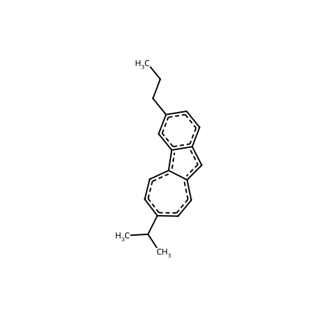 CCCc1ccc2cc3ccc(C(C)C)ccc-3c2c1